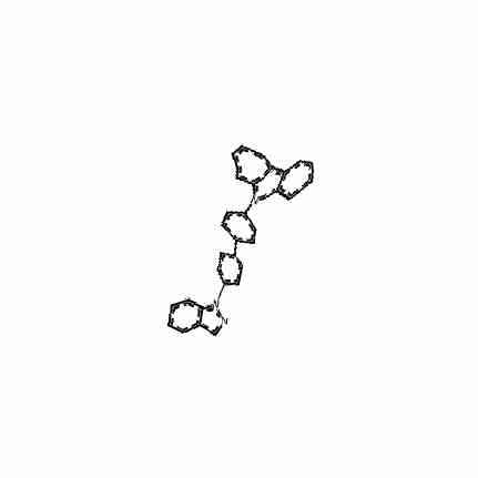 c1ccc2c(c1)cnn2-c1ccc(-c2ccc(-n3c4ccccc4c4ccccc43)cc2)cc1